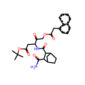 CC(C)(C)OC(=O)CC(NC(=O)C1C2CCC(C2)C1C(N)=O)C(=O)COC(=O)Cc1cccc2ccccc12